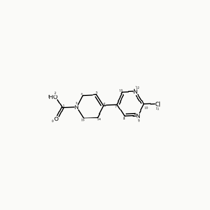 O=C(O)N1CC=C(c2cnc(Cl)nc2)CC1